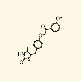 C=C1NC(=O)SC1Cc1ccc(OCC(=O)c2cccc(OC)c2)cc1